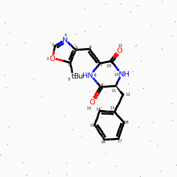 CC(C)(C)c1ocnc1C=C1NC(=O)[C@H](Cc2ccccc2)NC1=O